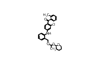 Cc1ccccc1C(=O)c1ccc(Nc2ccccc2COC(C)OC2CCCCO2)cc1Cl